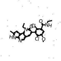 CCNC(=O)c1cc(OC)c(Cl)c(-c2cc3cnc4[nH]c(C)cc4c3n(CC)c2=O)c1Cl